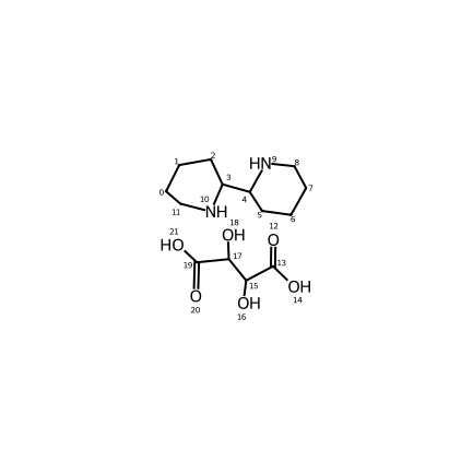 C1CCC(C2CCCCN2)NC1.O=C(O)C(O)C(O)C(=O)O